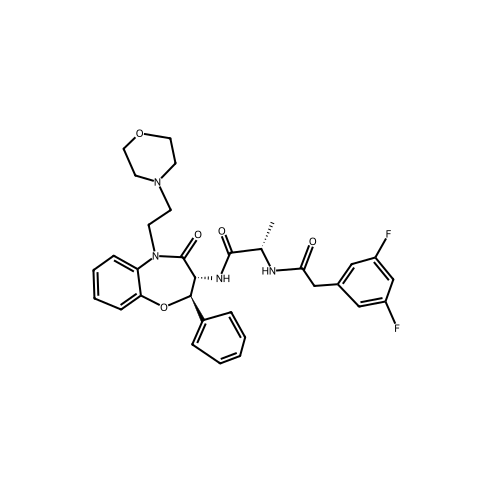 C[C@H](NC(=O)Cc1cc(F)cc(F)c1)C(=O)N[C@H]1C(=O)N(CCN2CCOCC2)c2ccccc2O[C@@H]1c1ccccc1